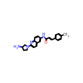 NC1CCN(c2ccc3cc(NC(=O)C=Cc4ccc(C(F)(F)F)cc4)ccc3n2)C1